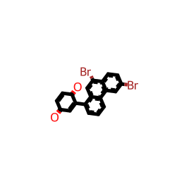 O=C1C=CC(=O)C(c2cccc3c2cc(Br)c2ccc(Br)cc23)=C1